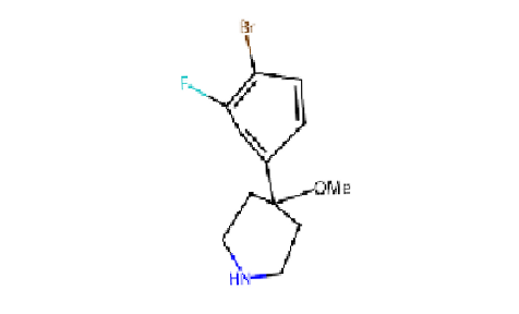 COC1(c2ccc(Br)c(F)c2)CCNCC1